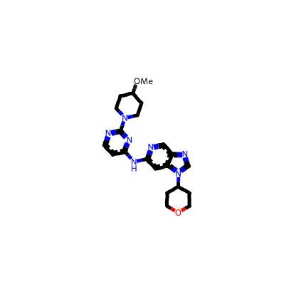 COC1CCN(c2nccc(Nc3cc4c(cn3)ncn4C3CCOCC3)n2)CC1